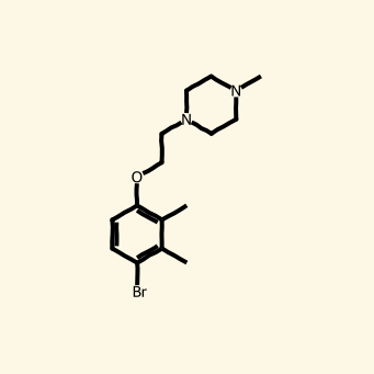 Cc1c(Br)ccc(OCCN2CCN(C)CC2)c1C